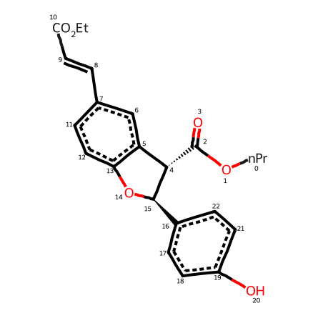 CCCOC(=O)[C@H]1c2cc(/C=C/C(=O)OCC)ccc2O[C@@H]1c1ccc(O)cc1